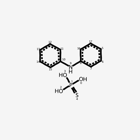 OP(O)(O)=S.c1ccc(Nc2ccccc2)cc1